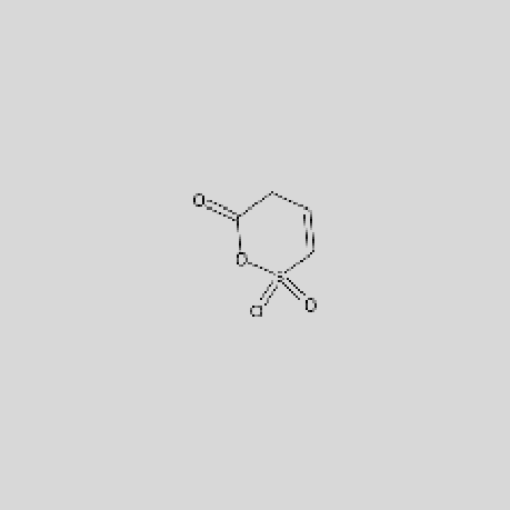 O=C1CC=CS(=O)(=O)O1